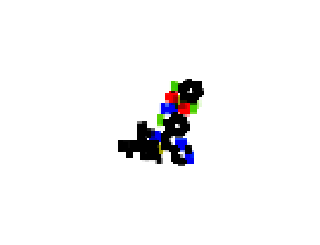 CC(C)(C)c1nc(-c2cccc(NS(=O)(=O)c3c(F)cccc3F)c2F)c(-c2ccncn2)s1